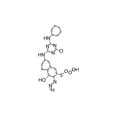 [2H]N=Nc1c(SOOO)cc2cc(Nc3nc(Cl)nc(Nc4ccccc4)n3)ccc2c1O